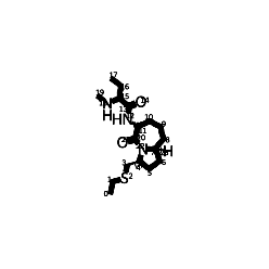 CCSC[C@@H]1CC[C@@H]2CCC[C@H](NC(=O)C(CC)NC)C(=O)N21